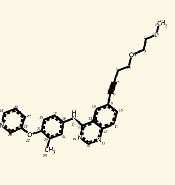 COCCOCCC#Cc1ccc2ncnc(Nc3ccc(Oc4cccnc4)c(C)c3)c2c1